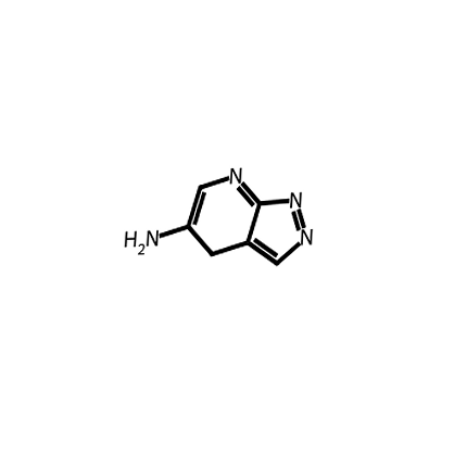 NC1=CN=C2N=NC=C2C1